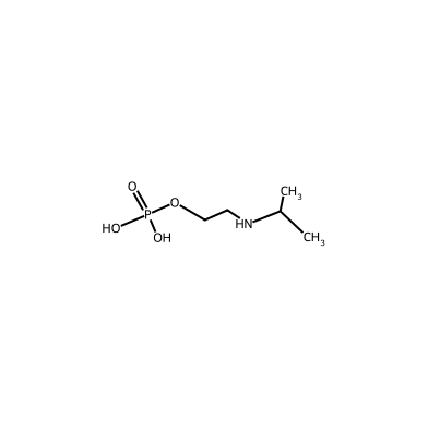 CC(C)NCCOP(=O)(O)O